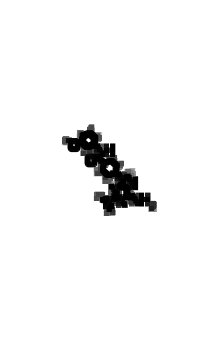 COc1cccc(NC(=O)C2CCC(n3cnc4c(N)nc(N(C)C)nc43)CC2)c1